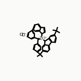 CC(C)(C)c1ccc2c(c1)[CH]([Zr+2](=[C](c1ccccc1)c1ccccc1)[CH]1C=Cc3ccccc31)c1cc(C(C)(C)C)ccc1-2.[Cl-].[Cl-]